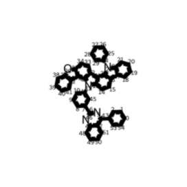 c1ccc(-c2nc(-c3cccc(-n4c5ccc6c7ccccc7n(-c7ccccc7)c6c5c5ccc6oc7ccccc7c6c54)c3)nc3ccccc23)cc1